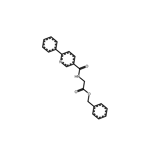 O=C(CNC(=O)c1ccc(-c2ccccc2)nc1)OCc1ccccc1